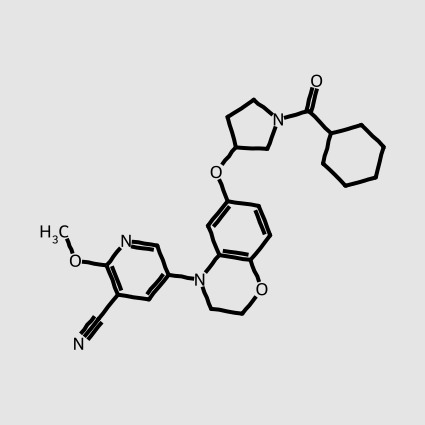 COc1ncc(N2CCOc3ccc(OC4CCN(C(=O)C5CCCCC5)C4)cc32)cc1C#N